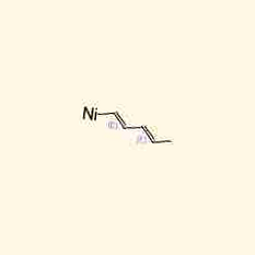 C/C=C/C=[CH]/[Ni]